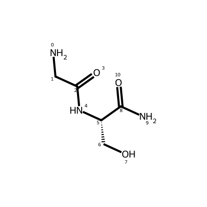 NCC(=O)N[C@@H](CO)C(N)=O